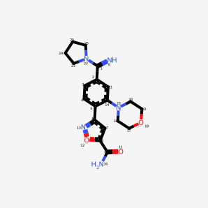 N=C(c1ccc(-c2cc(C(N)=O)on2)c(N2CCOCC2)c1)N1CCCC1